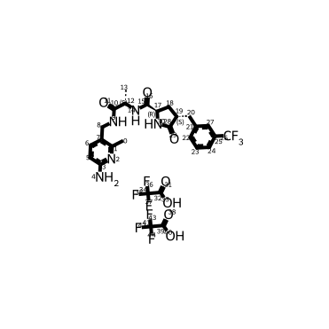 Cc1nc(N)ccc1CNC(=O)[C@H](C)NC(=O)[C@H]1C[C@H](Cc2cccc(C(F)(F)F)c2)C(=O)N1.O=C(O)C(F)(F)F.O=C(O)C(F)(F)F